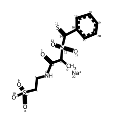 CC(C(=O)NCCS(=O)(=O)[O-])S(=O)(=O)C(=S)c1ccccc1.[Na+]